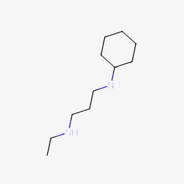 CCNCCCNC1CCCCC1